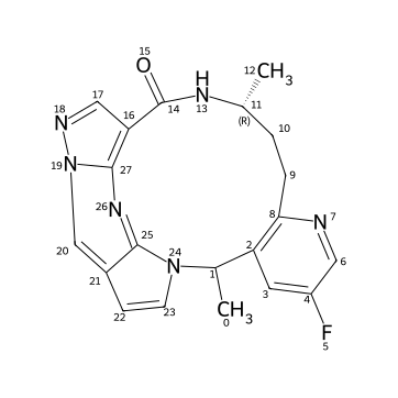 CC1c2cc(F)cnc2CC[C@@H](C)NC(=O)c2cnn3cc4ccn1c4nc23